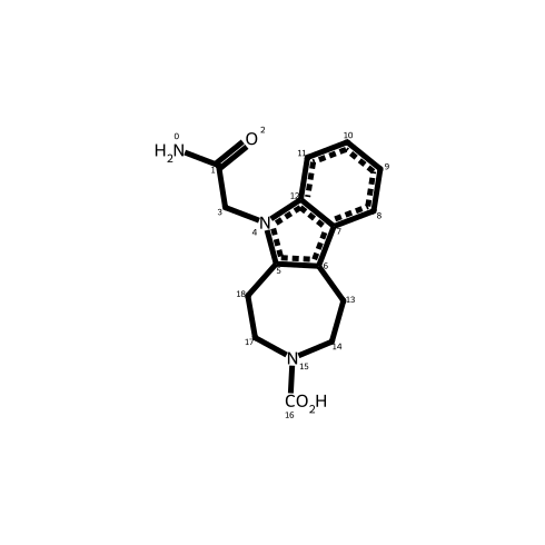 NC(=O)Cn1c2c(c3ccccc31)CCN(C(=O)O)CC2